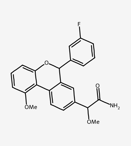 COc1cccc2c1-c1ccc(C(OC)C(N)=O)cc1C(c1cccc(F)c1)O2